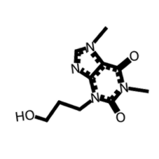 Cn1c(=O)c2c(ncn2C)n(CCCO)c1=O